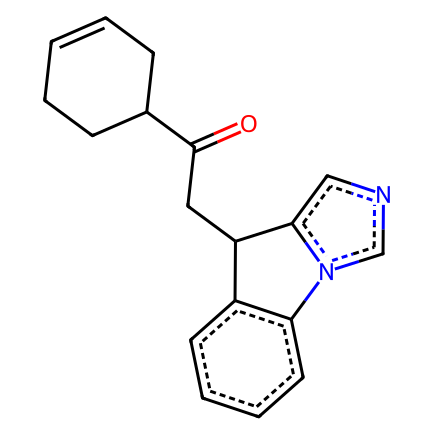 O=C(CC1c2ccccc2-n2cncc21)C1CC=CCC1